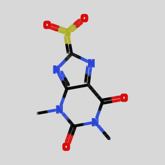 Cn1c(=O)c2c(n(C)c1=O)=NC(=S(=O)=O)N=2